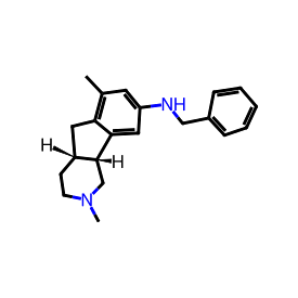 Cc1cc(NCc2ccccc2)cc2c1C[C@H]1CCN(C)C[C@@H]21